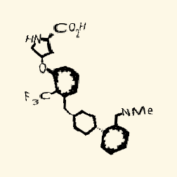 CNCc1ccccc1[C@H]1CC[C@H](Cc2cccc(O[C@H]3CN[C@@H](C(=O)O)C3)c2C(F)(F)F)CC1